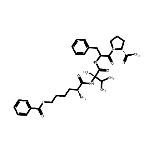 CC(=O)[C@H]1CCCN1C(=O)C(Cc1ccccc1)NC(=O)[C@@](C)(NC(=O)[C@@H](N)CCCCOC(=O)c1ccccc1)C(C)C